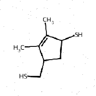 CC1=C(C)C(CS)CC1S